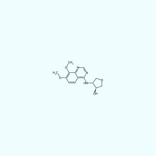 COc1ccc2c(NC3COC[C@H]3O)ncnc2c1OC